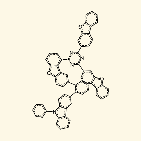 c1ccc(-n2c3ccccc3c3cc(-c4ccccc4-c4ccc5oc6cccc(-c7nc(-c8ccc9c(c8)oc8ccccc89)nc(-c8ccc9c(c8)oc8ccccc89)n7)c6c5c4)ccc32)cc1